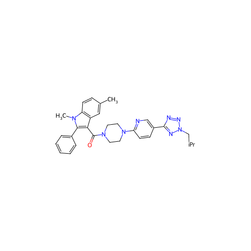 Cc1ccc2c(c1)c(C(=O)N1CCN(c3ccc(-c4nnn(CC(C)C)n4)cn3)CC1)c(-c1ccccc1)n2C